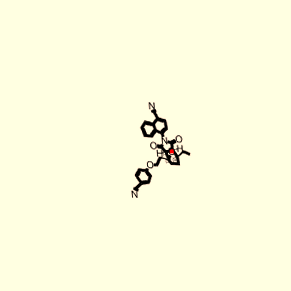 CC[C@@]12CC[C@@](CCOc3ccc(C#N)cc3)(O1)[C@H]1C(=O)N(c3ccc(C#N)c4ccccc34)C(=O)[C@H]12